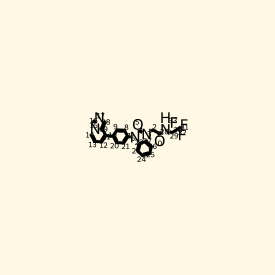 O=C(Cn1c(=O)n(-c2ccc(-c3cccn4cncc34)cc2)c2ccccc21)NCC(F)(F)F